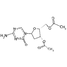 CC(=O)OC[C@H]1OC(n2cnc(N)nc2=O)C[C@H]1OC(C)=O